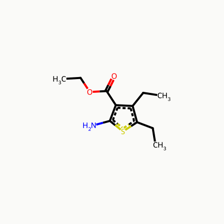 CCOC(=O)c1c(N)sc(CC)c1CC